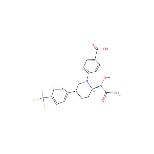 CON(C(N)=O)[C@H]1CCC(c2ccc(C(F)(F)F)cc2)CN1c1ccc(C(=O)O)cc1